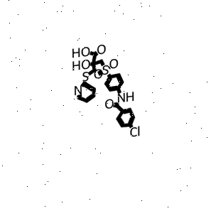 O=C(Nc1ccc(S(=O)(=O)CC(O)(CSc2ccccn2)C(=O)O)cc1)c1ccc(Cl)cc1